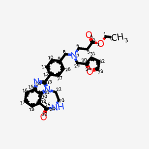 CCOC(=O)CCN(Cc1ccc(-c2nc3cccc4c3n2CCNC4=O)cc1)Cc1ccco1